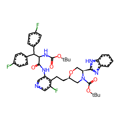 CC(C)(C)OC(=O)NC(C(=O)Nc1cncc(F)c1CC[C@@H]1CN(C(=O)OC(C)(C)C)[C@H](c2nc3ccccc3[nH]2)CO1)C(c1ccc(F)cc1)c1ccc(F)cc1